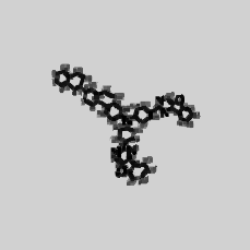 c1ccc2cc(-c3ccc4c(ccc5cc(N(c6ccc(-c7ncc8oc9ccccc9c8n7)cc6)c6ccc(-c7ncc8oc9ccccc9c8n7)cc6)ccc54)c3)ccc2c1